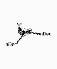 CCCCCCCCCCCCCCCCC[13C](=O)OC[C@H](COP(=O)([O-])OCC[N+](C)(C)C)O[13C](=O)CCCCCCCCCCCCCCCCC